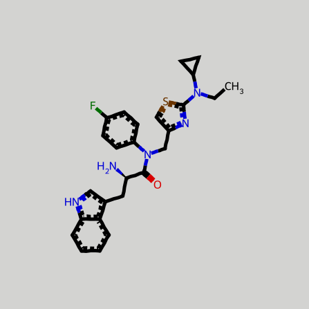 CCN(c1nc(CN(C(=O)[C@H](N)Cc2c[nH]c3ccccc23)c2ccc(F)cc2)cs1)C1CC1